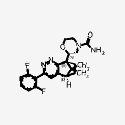 CC1(C)[C@H]2CC[C@]1([C@H]1CN(C(N)=O)CCO1)c1nnc(-c3c(F)cccc3F)cc12